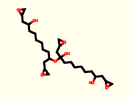 OC(CCCCCCC(CC1CO1)OC(O)(CCCCCCC(O)CC1CO1)CC1CO1)CC1CO1